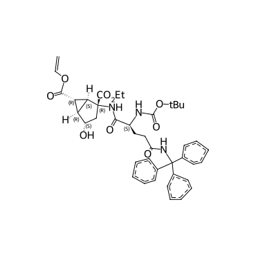 C=COC(=O)[C@H]1[C@H]2[C@@H]1[C@@](NC(=O)[C@H](CCC(=O)NC(c1ccccc1)(c1ccccc1)c1ccccc1)NC(=O)OC(C)(C)C)(C(=O)OCC)C[C@@H]2O